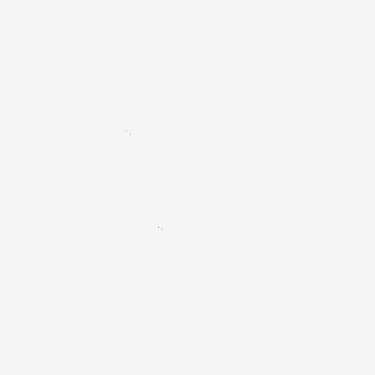 c1ccc(-c2ccc(N(c3ccc(-c4cccc5c4oc4ccccc45)cc3)c3ccc4c(c3)c3cccc5c6ccccc6c6ccccc6c6ccccc6n4c53)cc2)cc1